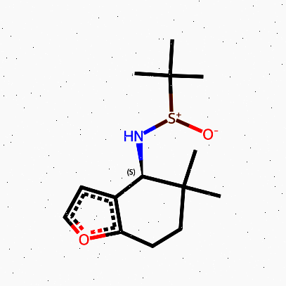 CC1(C)CCc2occc2[C@H]1N[S+]([O-])C(C)(C)C